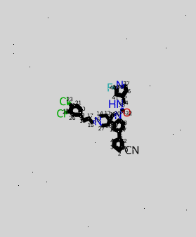 N#Cc1cccc(-c2ccc3c(c2)C2(CCN(C/C=C/c4ccc(Cl)c(Cl)c4)CC2)CN3C(=O)NCc2ccnc(F)c2)c1